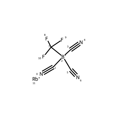 N#C[B-](C#N)(C#N)C(F)(F)F.[Rb+]